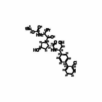 CC(C)[C@H](NC(=O)OC(C)(C)C)C(=O)N1C[C@H](O)C[C@H]1C(=O)N[C@@H](CO)c1ccc(-c2cccnc2Cl)cc1